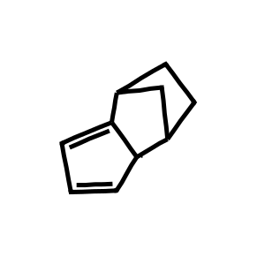 C1=C[C]2C(=C1)C1CCC2C1